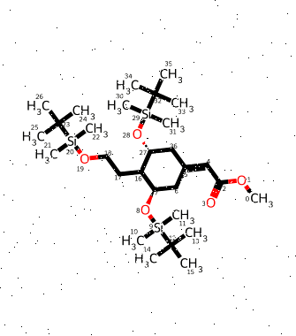 COC(=O)C=C1C[C@@H](O[Si](C)(C)C(C)(C)C)C(CCO[Si](C)(C)C(C)(C)C)[C@H](O[Si](C)(C)C(C)(C)C)C1